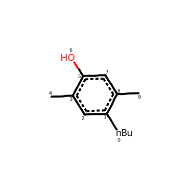 CCCCc1cc(C)c(O)cc1C